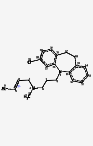 CC/C=C/CN(C)CCCN1c2ccccc2CCc2ccc(Cl)cc21